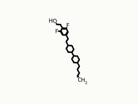 C=CCCCC1CCC(C2CCC(CCc3cc(F)c(CCO)c(F)c3)CC2)CC1